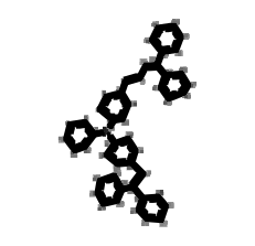 C(=Cc1ccc(N(c2ccccc2)c2ccc(C=C(c3ccccc3)c3ccccc3)cc2)cc1)C=C(c1ccccc1)c1ccccc1